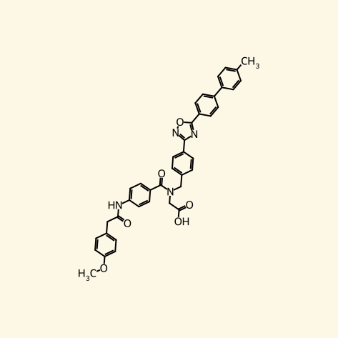 COc1ccc(CC(=O)Nc2ccc(C(=O)N(CC(=O)O)Cc3ccc(-c4noc(-c5ccc(-c6ccc(C)cc6)cc5)n4)cc3)cc2)cc1